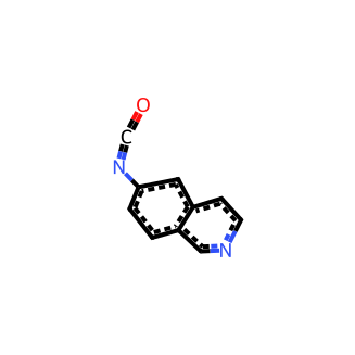 O=C=Nc1ccc2cnccc2c1